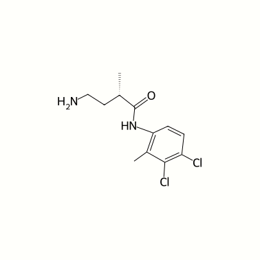 Cc1c(NC(=O)[C@@H](C)CCN)ccc(Cl)c1Cl